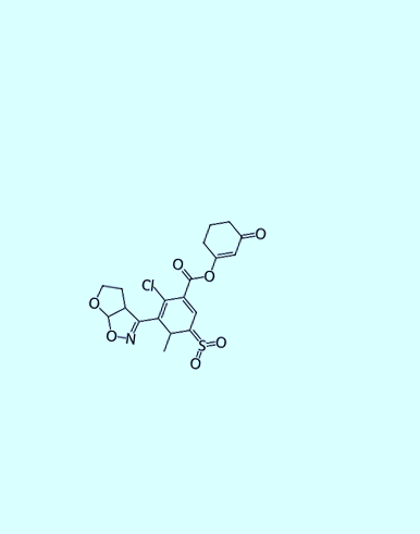 CC1C(C2=NOC3OCCC23)=C(Cl)C(C(=O)OC2=CC(=O)CCC2)=CC1=S(=O)=O